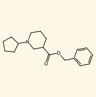 O=C(OCc1ccccc1)C1CCCN(C2CCCC2)C1